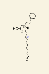 O=CCCCCC/C=C/CCN[C@H](CSc1ccccc1)CC(=O)O